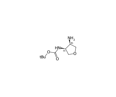 CC(C)(C)OC(=O)N[C@@H]1COC[C@@H]1N